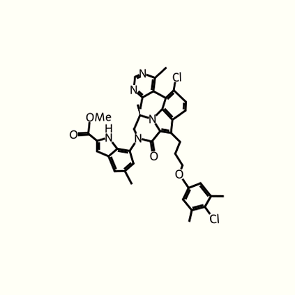 COC(=O)c1cc2cc(C)cc(N3C[C@@H](C)n4c(c(CCCOc5cc(C)c(Cl)c(C)c5)c5ccc(Cl)c(-c6c(C)ncnc6C)c54)C3=O)c2[nH]1